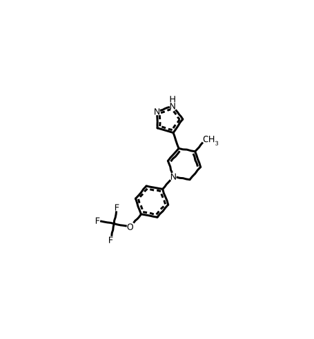 CC1=CCN(c2ccc(OC(F)(F)F)cc2)C=C1c1cn[nH]c1